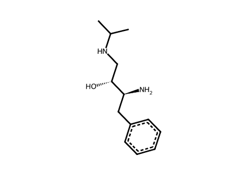 CC(C)NC[C@@H](O)[C@@H](N)Cc1ccccc1